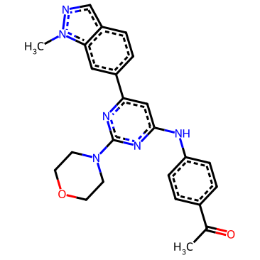 CC(=O)c1ccc(Nc2cc(-c3ccc4cnn(C)c4c3)nc(N3CCOCC3)n2)cc1